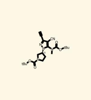 C#Cc1nn([C@H]2CCN(C(=O)OC(C)(C)C)C2)c(N(C)C(=O)OC(C)(C)C)c1C#N